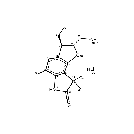 CC[C@@H]1c2cc(C)c3c(c2O[C@H]1CN)C(C)(C)C(=O)N3.Cl